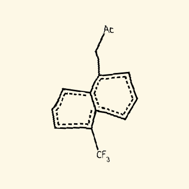 CC(=O)Cc1cccc2c(C(F)(F)F)cccc12